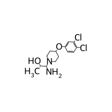 C[C@H](O)C(N)N1CCC(Oc2ccc(Cl)c(Cl)c2)CC1